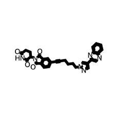 O=C1CCC(N2C(=O)c3ccc(C#CCCCCn4cc(-c5cnc6ccccc6n5)cn4)cc3C2=O)C(=O)N1